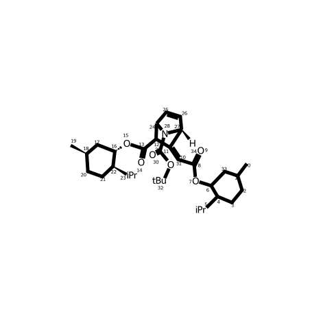 CC1CCC(C(C)C)C(OC(=O)/C=C2/C(C(=O)O[C@H]3C[C@H](C)CC[C@@H]3C(C)C)C3C=C[C@H]2N3C(=O)OC(C)(C)C)C1